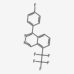 Fc1ccc(-c2nncc3c(C(F)(F)C(F)(F)F)cccc23)cc1